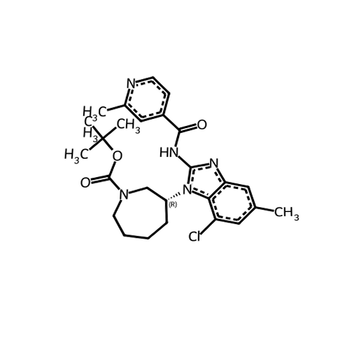 Cc1cc(Cl)c2c(c1)nc(NC(=O)c1ccnc(C)c1)n2[C@@H]1CCCCN(C(=O)OC(C)(C)C)C1